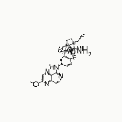 COc1cnc2c(Nc3ccc(F)c([C@@]4(C)N=C(N)[C@@]5(CF)CC[C@@H]4S5(=O)=O)c3)nccc2n1